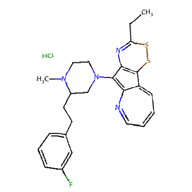 CCC1=Nc2c(c3ccccnc-3c2N2CCN(C)C(CCc3cccc(F)c3)C2)SS1.Cl